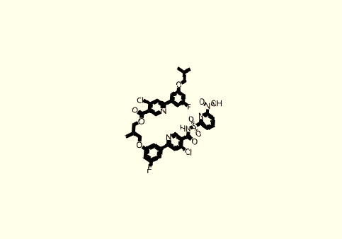 CC(C)COc1cc(F)cc(-c2cc(Cl)c(C(=O)OCC(C)COc3cc(F)cc(-c4cc(Cl)c(C(=O)NS(=O)(=O)c5cccc([N+](=O)O)n5)cn4)c3)cn2)c1